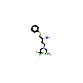 CCN(CC[C@@H]([NH])CSc1ccccc1)CC(F)(F)F